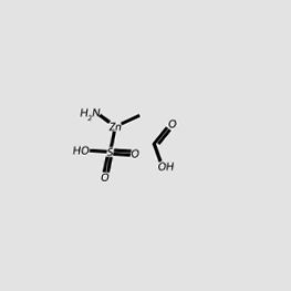 O=CO.[CH3][Zn]([NH2])[S](=O)(=O)O